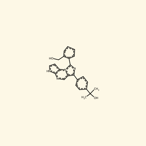 CC(C)(O)c1ccc(-c2nc(-c3ccccc3CO)n3c2cnc2[nH]ccc23)cc1